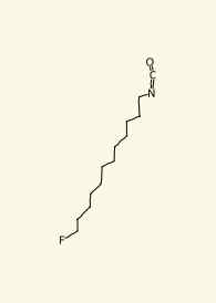 O=C=NCCCCCCCCCCCCF